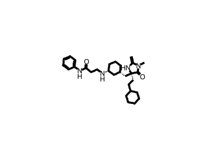 C=C1N[C@](CCC2CCCCC2)(C[C@H]2CCC[C@@H](NCCC(=O)Nc3ccccc3)C2)C(=O)N1C